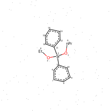 CCCO[Si](OCC)(c1ccccc1)c1ccccc1